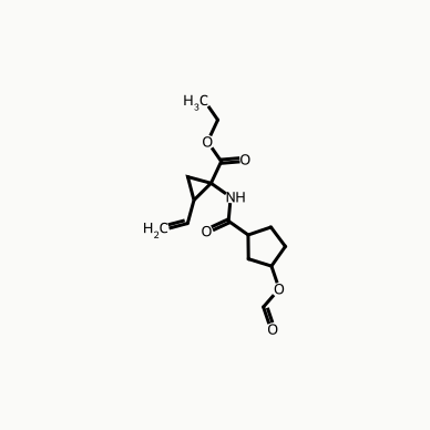 C=CC1CC1(NC(=O)C1CCC(OC=O)C1)C(=O)OCC